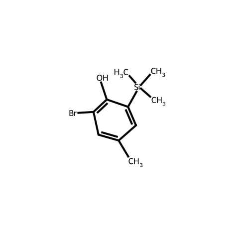 Cc1cc(Br)c(O)c([Si](C)(C)C)c1